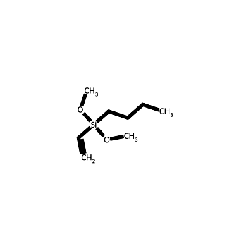 C=C[Si](CCCC)(OC)OC